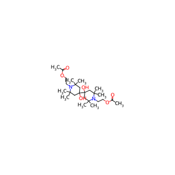 CC(=O)OCCN1C(C)(C)CC(O)(C2(O)CC(C)(C)N(CCOC(C)=O)C(C)(C)C2)CC1(C)C